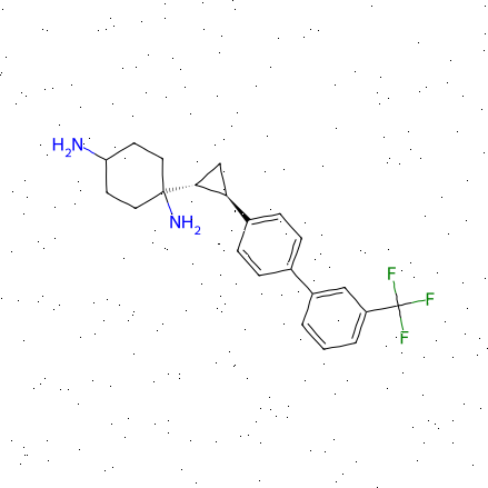 NC1CCC(N)([C@@H]2C[C@H]2c2ccc(-c3cccc(C(F)(F)F)c3)cc2)CC1